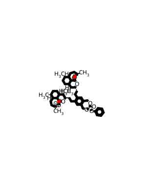 C[C@H]1[C@@H](CCc2cc3c(cc2CC[C@H]2O[C@@H]4O[C@]5(C)CC[C@H]6[C@H](C)CC[C@@H]([C@H]2C)[C@@]46OO5)COP(=O)(Oc2ccccc2)OC3)O[C@@H]2O[C@]3(C)CC[C@H]4[C@H](C)CC[C@@H]1[C@@]24OO3